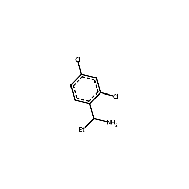 CCC(N)c1ccc(Cl)cc1Cl